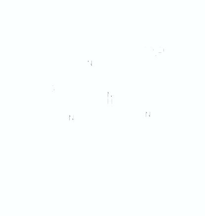 CCOC(=O)C1=C(CN2CCC(F)C2)NC(c2nccs2)=NC1